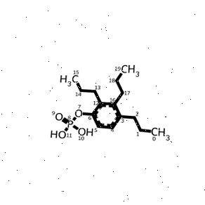 CCCc1ccc(OP(=O)(O)O)c(CCC)c1CCC